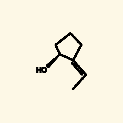 C/C=C1/CCC[C@@H]1O